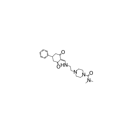 CN(C)C(=O)N1CCN(CCNC=C2C(=O)CC(c3ccccc3)CC2=O)CC1